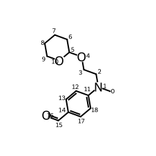 CN(CCOC1CCCCO1)c1ccc(C=O)cc1